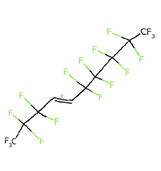 FC(F)(F)C(F)(F)C(F)(F)/C=C/C(F)(F)C(F)(F)C(F)(F)C(F)(F)C(F)(F)F